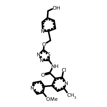 COc1cnccc1-c1cc(C)nc(Cl)c1C(=O)Nc1nnc(OCc2ccc(CO)cn2)s1